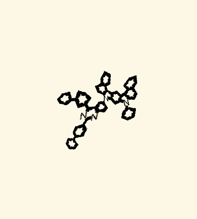 c1ccc(-c2ccc(-c3nc(-c4cccc(-c5ccccc5)c4)c4cc(-n5c6cc7c(cc6c6c8ccccc8ccc65)c5c6ccccc6ccc5n7-c5ccccc5)ccc4n3)cc2)cc1